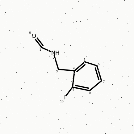 O=[C]NCc1ccccc1I